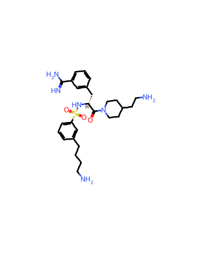 N=C(N)c1cccc(C[C@@H](NS(=O)(=O)c2cccc(CCCCN)c2)C(=O)N2CCC(CCN)CC2)c1